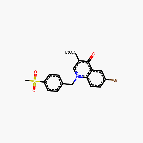 CCOC(=O)c1cn(Cc2ccc(S(C)(=O)=O)cc2)c2ccc(Br)cc2c1=O